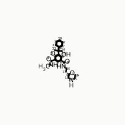 CNC(=O)c1cc(C(=O)NCC[C@H]2CNCCO2)cc2c1OCC2(CO)c1ccccc1